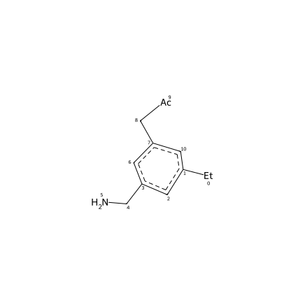 CCc1cc(CN)cc(CC(C)=O)c1